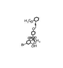 COc1ccccc1C#CCOc1ccc(S(=O)(=O)N(C)c2c(C)cc(Br)cc2C(=O)O)cc1